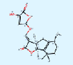 CC(=O)O[C@H]1CCC(C)(C)C2=C1C[C@@H]1/C(=C\OC3C=C(O)C(=O)O3)C(=O)O[C@H]21